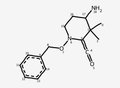 CC1(C)C(=C=O)N(OCc2ccccc2)CCC1N